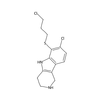 ClCCCSc1c(Cl)ccc2c3c([nH]c12)CCNC3